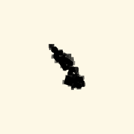 C[C@H]1CC2CN(C(=O)COC3(c4c(F)cncc4F)CCC3)CC1N2c1ccc(C#N)cn1